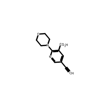 C#Cc1cnc(N2CCOCC2)c(C(=O)O)c1